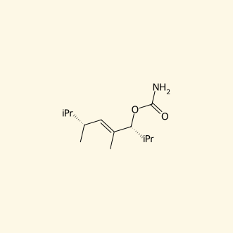 C/C(=C\[C@H](C)C(C)C)[C@H](OC(N)=O)C(C)C